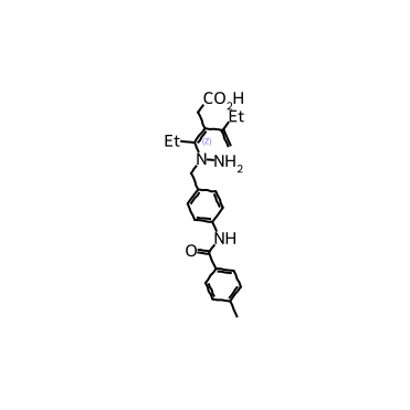 C=C(CC)/C(CC(=O)O)=C(/CC)N(N)Cc1ccc(NC(=O)c2ccc(C)cc2)cc1